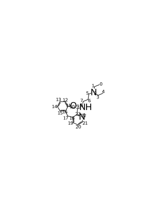 CCN(CC)CCCNC1Oc2ccccc2Cc2cccnc21